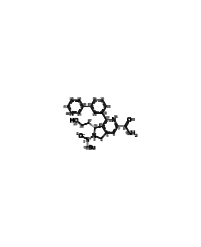 CCCC[S+]([O-])N1Cc2cc(C(N)=O)nc(-c3cccc(-c4cccnc4)c3)c2[C@H]1CCO